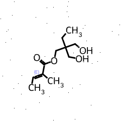 C/C=C(\C)C(=O)OCC(CC)(CO)CO